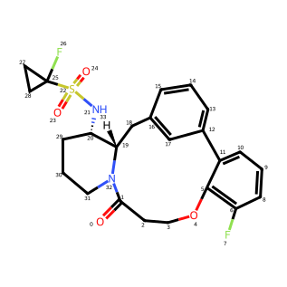 O=C1CCOc2c(F)cccc2-c2cccc(c2)C[C@H]2[C@@H](NS(=O)(=O)C3(F)CC3)CCCN12